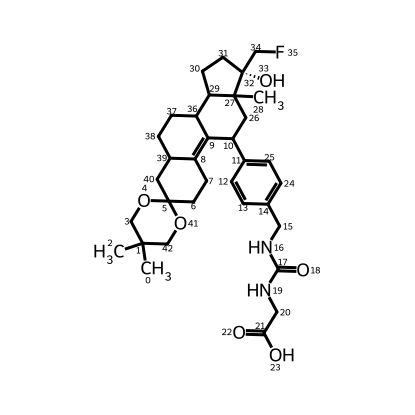 CC1(C)COC2(CCC3=C4C(c5ccc(CNC(=O)NCC(=O)O)cc5)CC5(C)C(CC[C@@]5(O)CF)C4CCC3C2)OC1